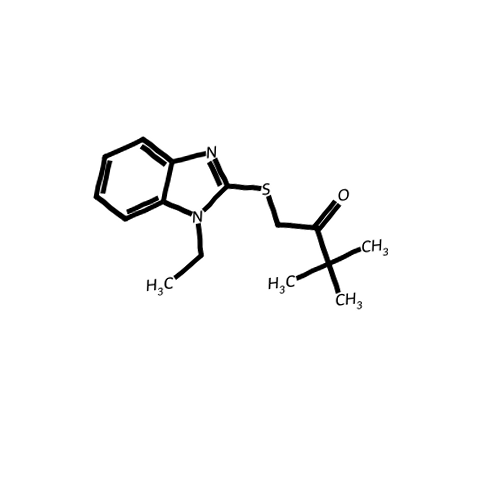 CCn1c(SCC(=O)C(C)(C)C)nc2ccccc21